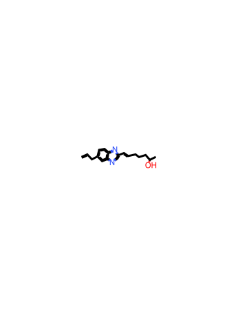 C=CCc1ccc2nc(/C=C/CCCC(C)O)cnc2c1